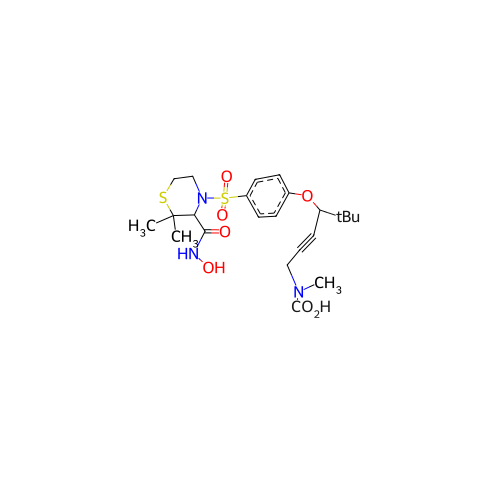 CN(CC#CC(Oc1ccc(S(=O)(=O)N2CCSC(C)(C)C2C(=O)NO)cc1)C(C)(C)C)C(=O)O